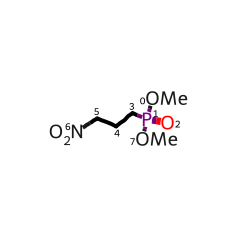 COP(=O)(CCC[N+](=O)[O-])OC